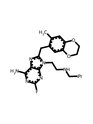 Cc1cc2c(cc1Cc1nc3c(N)nc(F)nc3n1CCNCC(C)C)OCCO2